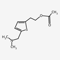 CC(=O)OCCc1ccc(CN(C)C)s1